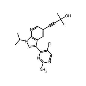 CC(C)n1cc(-c2nc(N)ncc2Cl)c2cc(C#CC(C)(C)O)cnc21